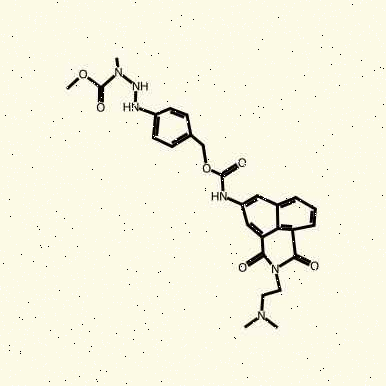 COC(=O)N(C)NNc1ccc(COC(=O)Nc2cc3c4c(cccc4c2)C(=O)N(CCN(C)C)C3=O)cc1